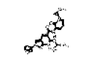 CC(C)Oc1nc2nn(C34COC(C3)C4)cc2cc1C(=O)Nc1cccn([C@H]2C[C@H]2C)c1=O